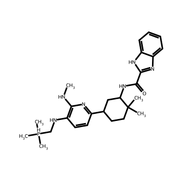 CNc1nc(C2CCC(C)(C)C(NC(=O)c3nc4ccccc4[nH]3)C2)ccc1NC[PH](C)(C)C